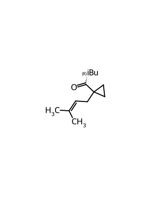 CC[C@@H](C)C(=O)C1(CC=C(C)C)CC1